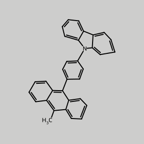 Cc1c2ccccc2c(-c2ccc(-n3c4ccccc4c4ccccc43)cc2)c2ccccc12